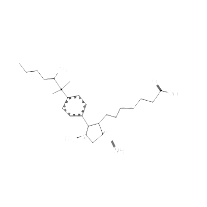 CCCCC(O)C(C)(C)c1ccc(C2C(CCCCCCC(=O)O)[C@H](C=N)C[C@H]2O)cc1